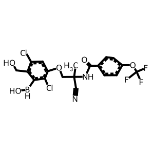 CC(C#N)(COc1cc(Cl)c(CO)c(BO)c1Cl)NC(=O)c1ccc(OC(F)(F)F)cc1